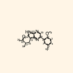 COc1ccc(F)cc1-c1cnc2[nH]cc(CC(C)C(C)=O)c2n1